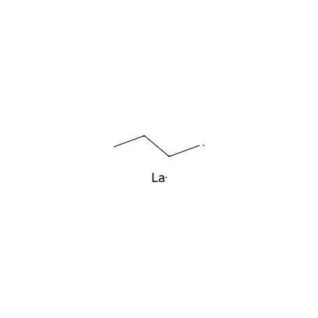 [CH2]CCC.[La]